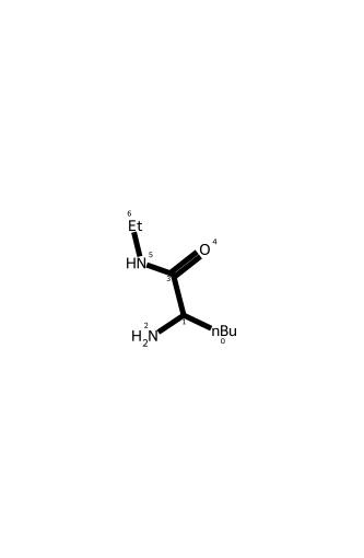 CCCCC(N)C(=O)NCC